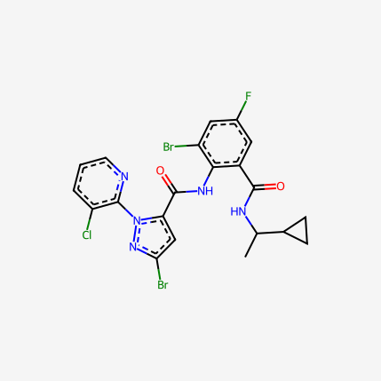 CC(NC(=O)c1cc(F)cc(Br)c1NC(=O)c1cc(Br)nn1-c1ncccc1Cl)C1CC1